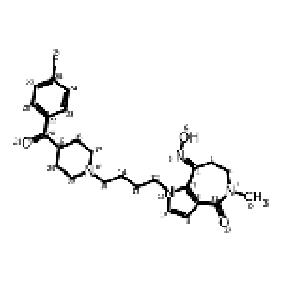 CN1CCC(=NO)c2c(ccn2CCCCN2CCC(C(=O)c3ccc(F)cc3)CC2)C1=O